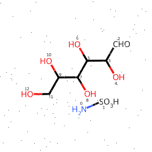 NS(=O)(=O)O.O=CC(O)C(O)C(O)C(O)CO